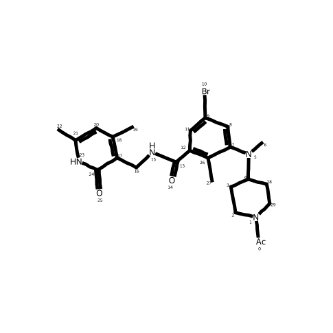 CC(=O)N1CCC(N(C)c2cc(Br)cc(C(=O)NCc3c(C)cc(C)[nH]c3=O)c2C)CC1